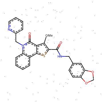 COc1c(C(=O)NCc2ccc3c(c2)OCO3)sc2c1c(=O)n(Cc1ccccn1)c1ccccc21